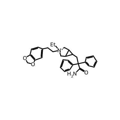 CC[N+]1(CCc2ccc3c(c2)OCO3)CC2C(CC(C(N)=O)(c3ccccc3)c3ccccc3)C2C1